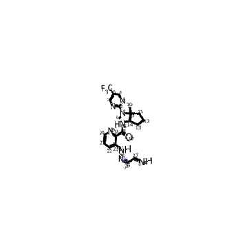 CN(c1ncc(C(F)(F)F)cn1)C1(C)CCCC1NC(=O)c1ncccc1N/N=C\C=N